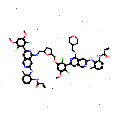 C=CC(=O)Nc1cccc(C)c1Nc1cc2c(NCC3CCC(COc4cc(OC)c(Cl)c(-c5cc6cnc(Nc7c(C)cccc7NC(=O)C=C)cc6c(NCC6CCOCC6)n5)c4Cl)O3)nc(-c3c(Cl)c(OC)cc(OC)c3Cl)cc2cn1